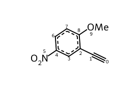 C#Cc1cc([N+](=O)[O-])ccc1OC